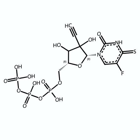 C#CC1(O)C(O)[C@@H](COP(=O)(O)OP(=O)(O)OP(=O)(O)O)O[C@H]1n1cc(F)c(=S)[nH]c1=O